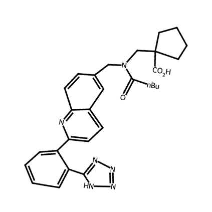 CCCCC(=O)N(Cc1ccc2nc(-c3ccccc3-c3nnn[nH]3)ccc2c1)CC1(C(=O)O)CCCC1